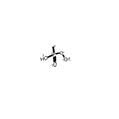 CP(=O)(O)OO